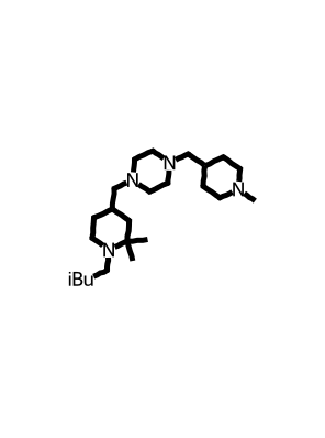 CCC(C)CN1CCC(CN2CCN(CC3CCN(C)CC3)CC2)CC1(C)C